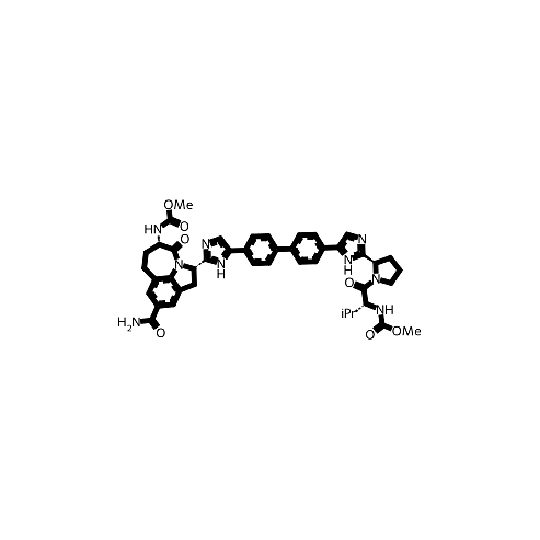 COC(=O)N[C@H]1CCc2cc(C(N)=O)cc3c2N(C1=O)[C@H](c1ncc(-c2ccc(-c4ccc(-c5cnc([C@H]6CCCN6C(=O)[C@H](NC(=O)OC)C(C)C)[nH]5)cc4)cc2)[nH]1)C3